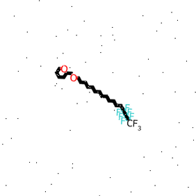 FC(F)(F)C(F)(F)C(F)(F)C(F)(F)CCCCCCCCCCCCCOCC1CCCCO1